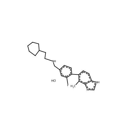 Cc1c(-c2ccc(CNCCC3CCCCC3)cc2F)ccc2[nH]cnc12.Cl